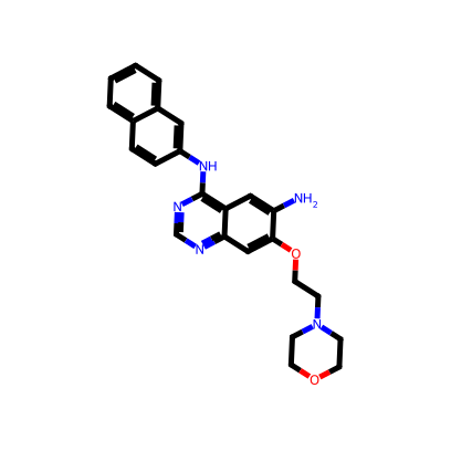 Nc1cc2c(Nc3ccc4ccccc4c3)ncnc2cc1OCCN1CCOCC1